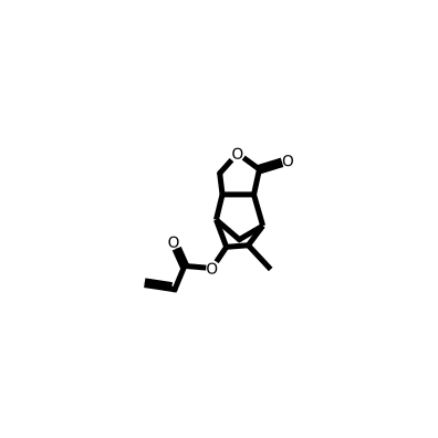 C=CC(=O)OC1C(C)C2CC1C1COC(=O)C21